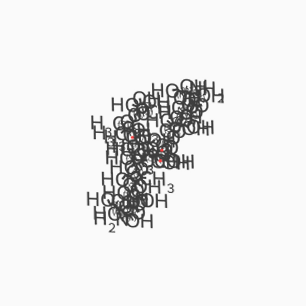 CC1[C@H](O[C@@H]2C(CO[C@@H]3O[C@@H](C)[C@@H](O)C(O)C3O)O[C@@H](C)C(C)[C@H]2O)OC(CO)[C@@H](OC2OC(CO[C@H](CO[C@@H]3OC(CO)[C@@H](O[C@@H]4OC(CO)[C@@H]5OC(=O)[C@]6(C[C@@H](O)[C@@H](N)C([C@H](O)[C@H](O)CO)O6)OC5[C@@H]4O)C(O)[C@@H]3C)OC(CO)[C@@H](O)[C@@H](C)O)[C@@H](O)[C@@H]2OC2OC(CO)[C@@H](O)C(O)C2O[C@@H]2OC(CO)[C@@H](O[C@@H]3OC(CO)[C@@H]4OC(=O)[C@]5(C[C@@H](O)[C@@H](N)C([C@H](O)[C@H](O)CO)O5)OC4[C@@H]3O)[C@H](O)C2C)[C@@H]1O